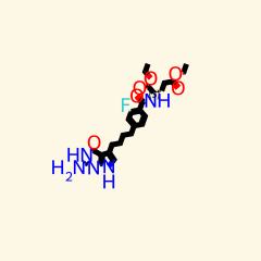 CCOC(=O)CC[C@H](NC(=O)c1ccc(CCCCc2c[nH]c3nc(N)[nH]c(=O)c23)cc1F)C(=O)OCC